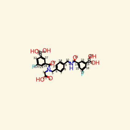 O=C(O)CN(Cc1ccc(CNC(=O)c2cc(F)cc(B(O)O)c2)cc1)C(=O)c1cc(F)cc(B(O)O)c1